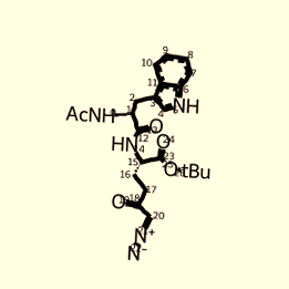 CC(=O)N[C@@H](Cc1c[nH]c2ccccc12)C(=O)N[C@@H](CCC(=O)C=[N+]=[N-])C(=O)OC(C)(C)C